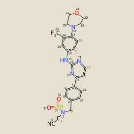 N#CCN(Cc1ccc(-c2ccnc(Nc3ccc(N4CCOCC4)c(C(F)(F)F)c3)n2)cc1)[SH](=O)=O